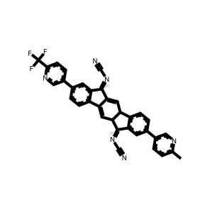 Cc1ccc(-c2ccc3c(c2)/C(=N\C#N)C2C=C4C(=CC32)/C(=N/C#N)c2cc(-c3ccc(C(F)(F)F)nc3)ccc24)cn1